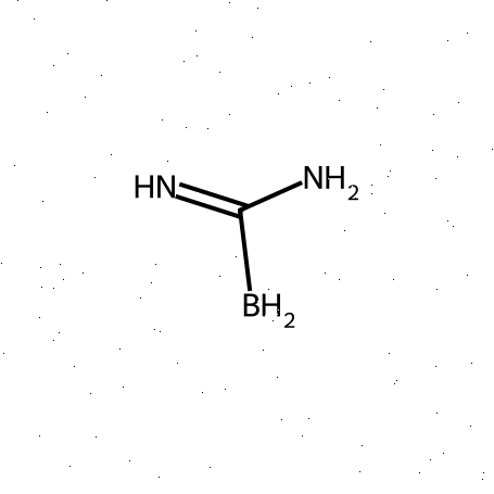 BC(=N)N